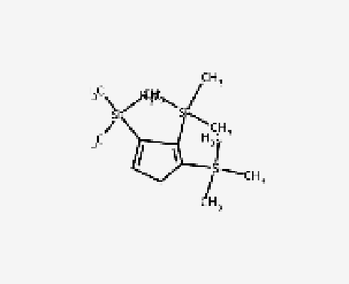 C[Si](C)(C)C1=C[CH]C([Si](C)(C)C)=C1[Si](C)(C)C